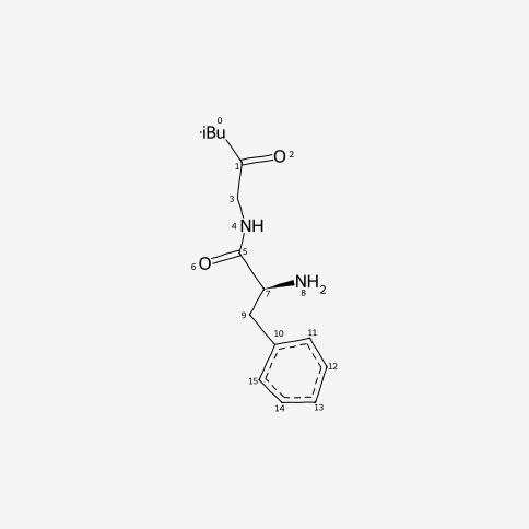 CC[C](C)C(=O)CNC(=O)[C@@H](N)Cc1ccccc1